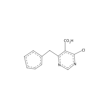 O=C(O)c1c(Cl)ncnc1Cc1ccccc1